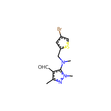 Cc1nn(C)c(N(C)Cc2cc(Br)cs2)c1C=O